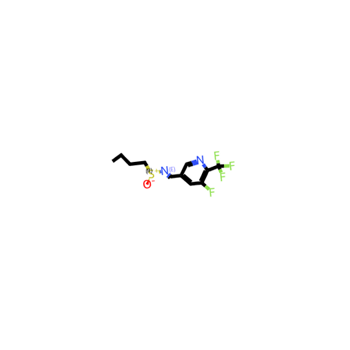 CCCC[S@+]([O-])/N=C/c1cnc(C(F)(F)F)c(F)c1